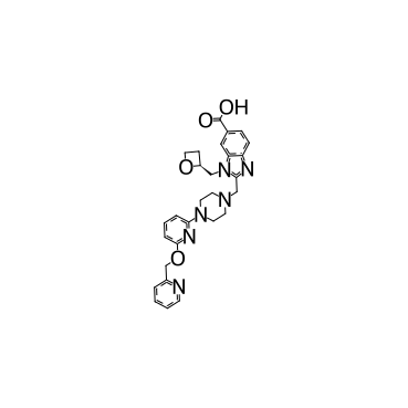 O=C(O)c1ccc2nc(CN3CCN(c4cccc(OCc5ccccn5)n4)CC3)n(C[C@@H]3CCO3)c2c1